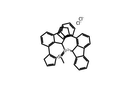 C[Si](C)=[Zr+2]([CH]1c2ccccc2-c2cccc(C3=CC=CC3)c21)[CH]1c2ccccc2-c2cccc(C3=CC=CC3)c21.[Cl-].[Cl-]